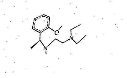 CCN(CC)CCN(C)[C@@H](C)c1ccccc1OC